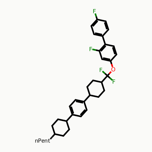 CCCCCC1CCC(c2ccc(C3CCC(C(F)(F)Oc4ccc(-c5ccc(F)cc5)c(F)c4)CC3)cc2)CC1